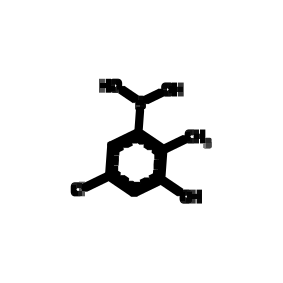 Cc1c(O)cc(Cl)cc1B(O)O